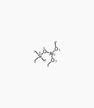 C[O][Al]([O]C)[O][Si](C)(C)C